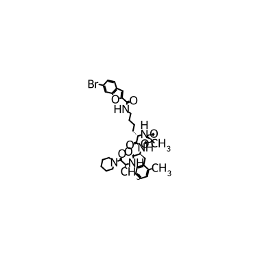 Cc1ccccc1C[C@H](NC(=O)[C@H](CCCCNC(=O)c1cc2ccc(Br)cc2o1)NS(C)(=O)=O)C(=O)N[C@@H](C)C(=O)N1CCCCC1